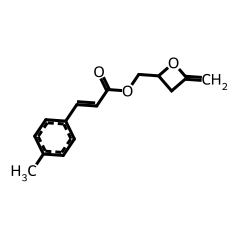 C=C1CC(COC(=O)C=Cc2ccc(C)cc2)O1